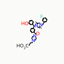 C[C@@H]1CN(C(c2cccc(O)c2)c2cccc(C(=O)N3CCN(CCCC(=O)O)CC3)c2)[C@@H](C)CN1Cc1cccc(F)c1